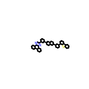 c1cc(-c2ccc3cc(-c4cccc(-c5cccc6c5sc5ccccc56)c4)ccc3c2)cc(-c2cnc3c4ccccc4c4ccccc4c3n2)c1